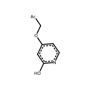 CC(=O)COc1ccnc(O)c1